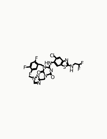 Cn1cnc(Cn2c(=O)nc(Nc3cc4sc(NCC(F)F)nc4cc3Cl)n(Cc3cc(F)c(F)cc3F)c2=O)n1